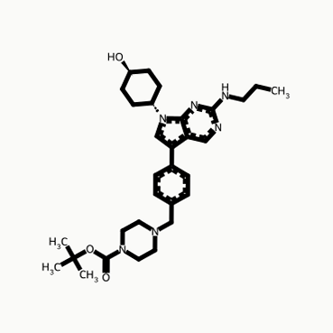 CCCNc1ncc2c(-c3ccc(CN4CCN(C(=O)OC(C)(C)C)CC4)cc3)cn([C@H]3CC[C@H](O)CC3)c2n1